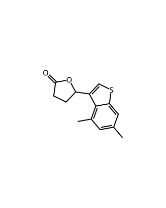 Cc1cc(C)c2c(C3CCC(=O)O3)csc2c1